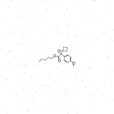 CCCCCOC(=O)C1(c2ccc(OC)cc2)OC12CCC2